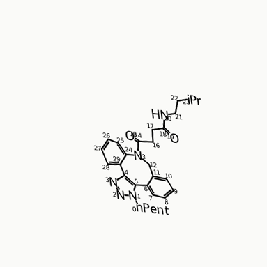 CCCCCn1nnc2c1-c1ccccc1CN(C(=O)CCC(=O)NCCC(C)C)c1ccccc1-2